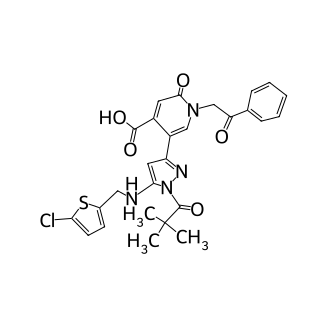 CC(C)(C)C(=O)n1nc(-c2cn(CC(=O)c3ccccc3)c(=O)cc2C(=O)O)cc1NCc1ccc(Cl)s1